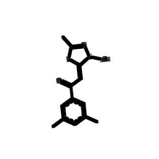 CCCCN1N=C(C)SC1=CC(=O)c1cc(C)cc(C)c1